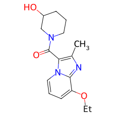 CCOc1cccn2c(C(=O)N3CCCC(O)C3)c(C)nc12